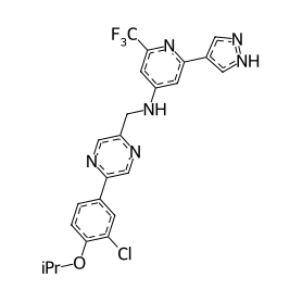 CC(C)Oc1ccc(-c2cnc(CNc3cc(-c4cn[nH]c4)nc(C(F)(F)F)c3)cn2)cc1Cl